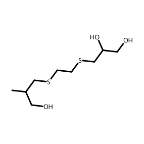 CC(CO)CSCCSCC(O)CO